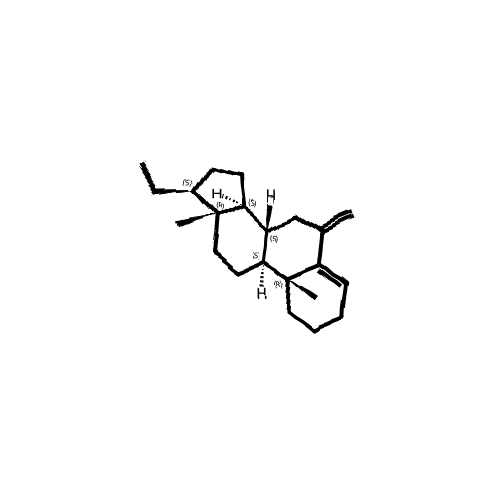 C=C1C[C@H]2[C@@H]3CC[C@H](CC)[C@@]3(C)CC[C@@H]2[C@@]2(C)CCCC=C12